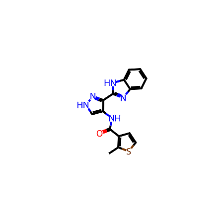 Cc1sccc1C(=O)Nc1c[nH]nc1-c1nc2ccccc2[nH]1